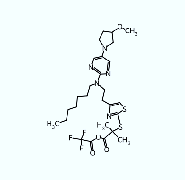 CCCCCCCN(CCc1csc(SC(C)(C)C(=O)OC(=O)C(F)(F)F)n1)c1ncc(N2CCC(OC)C2)cn1